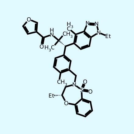 CC[C@@H]1CN(Cc2cc([C@@H](c3ccc4c(nnn4CC)c3C)C(C)(C)NC(=O)c3ccoc3)ccc2C)S(=O)(=O)c2ccccc2O1